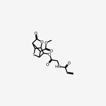 C=CC(=O)NCC(=O)OC1C2OC(=O)C3C2SC1C3C(=O)OC